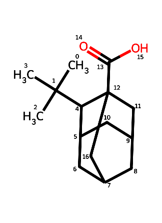 CC(C)(C)C1C2CC3CC(C2)CC1(C(=O)O)C3